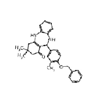 Cc1cc(C2Nc3ccccc3NC3=C2C(=O)CC(C)(C)C3)ccc1OCc1ccccc1